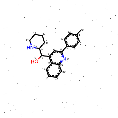 Cc1ccc(-c2cc(C(O)C3CCCCN3)c3ccccc3n2)cc1